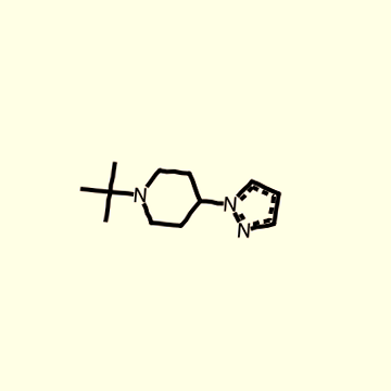 CC(C)(C)N1CCC(n2cccn2)CC1